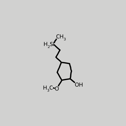 COC1CC(CC[SiH2]C)CCC1O